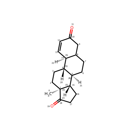 C[C@]12CC[C@H]3[C@@H](CCC4CC(=O)C=C[C@@H]43)[C@@H]1CCC2=O